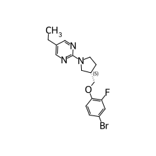 CCc1cnc(N2CC[C@H](COc3ccc(Br)cc3F)C2)nc1